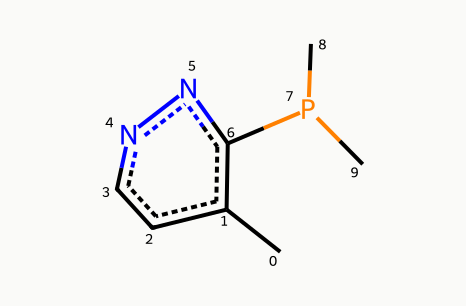 Cc1ccnnc1P(C)C